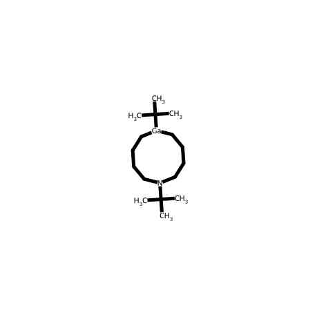 CC(C)(C)N1CCC[CH2][Ga]([C](C)(C)C)[CH2]CCC1